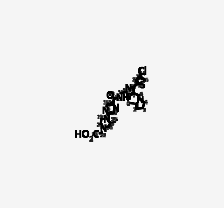 C[C@@H]1CCCN1Cc1sc(CNC(=O)c2cnc(N3CCN(CC(=O)O)C[C@@H]3C)cn2)nc1-c1cc(Cl)cs1